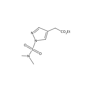 CCOC(=O)Cc1cnn(S(=O)(=O)N(C)C)c1